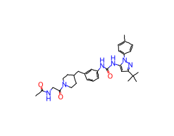 CC(=O)NCC(=O)N1CCC(Cc2cccc(NC(=O)Nc3cc(C(C)(C)C)nn3-c3ccc(C)cc3)c2)CC1